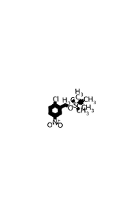 CC(C)(C)[Si](C)(C)OCc1cc([N+](=O)[O-])ccc1Cl